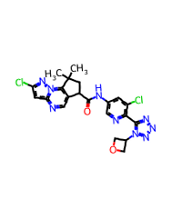 CC1(C)CC(C(=O)Nc2cnc(-c3nnnn3C3COC3)c(Cl)c2)c2cnc3cc(Cl)nn3c21